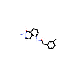 Cc1cccc(CC(=O)Nc2cccc3c(=O)n(C)ccc23)c1